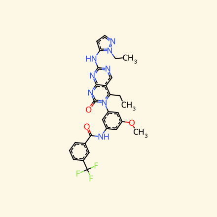 CCc1c2cnc(Nc3ccnn3CC)nc2nc(=O)n1-c1cc(NC(=O)c2cccc(C(F)(F)F)c2)cc(OC)c1